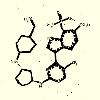 CP(C)(=O)c1c(C(=O)O)ccc2c(-c3nc(N[C@H]4CC[C@H](NC5CCC(CN)CC5)C4)ncc3C(F)(F)F)c[nH]c12